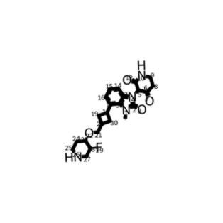 Cn1c(=O)n(C2C(=O)CCNC2=O)c2cccc(C3CC(CO[C@@H]4CCNC[C@@H]4F)C3)c21